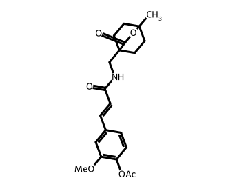 COc1cc(C=CC(=O)NCC23CCC(C)(CC2)OC3=O)ccc1OC(C)=O